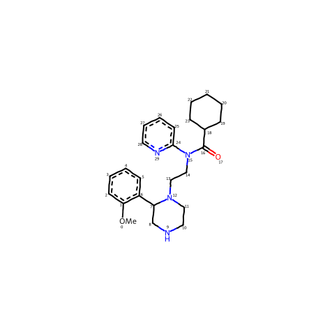 COc1ccccc1C1CNCCN1CCN(C(=O)C1CCCCC1)c1ccccn1